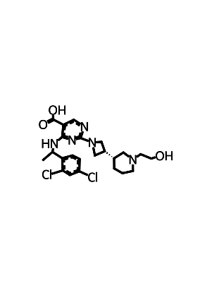 CC(Nc1nc(N2CC([C@H]3CCCN(CCO)C3)C2)ncc1C(=O)O)c1ccc(Cl)cc1Cl